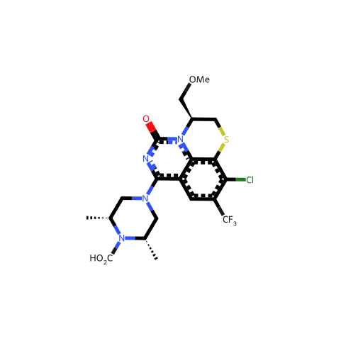 COC[C@H]1CSc2c(Cl)c(C(F)(F)F)cc3c(N4C[C@@H](C)N(C(=O)O)[C@@H](C)C4)nc(=O)n1c23